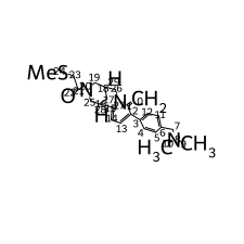 C=C1C(c2ccc(CN(C)C)cc2)=CC=C2[C@@H]3C[C@@H](CN(C(=O)CSC)C3)CN12